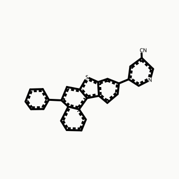 N#Cc1cncc(-c2ccc3c(c2)sc2cc(-c4ccccc4)c4ccccc4c23)c1